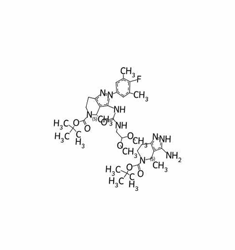 COC(CNC(=O)Nc1c2c(nn1-c1cc(C)c(F)c(C)c1)CCN(C(=O)OC(C)(C)C)[C@H]2C)OC.C[C@H]1c2c(n[nH]c2N)CCN1C(=O)OC(C)(C)C